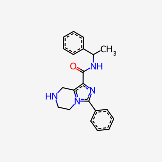 CC(NC(=O)c1nc(-c2ccccc2)n2c1CNCC2)c1ccccc1